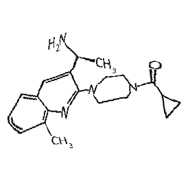 Cc1cccc2cc([C@H](C)N)c(N3CCN(C(=O)C4CC4)CC3)nc12